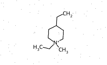 [CH2]CC1CC[N+](C)(CC)CC1